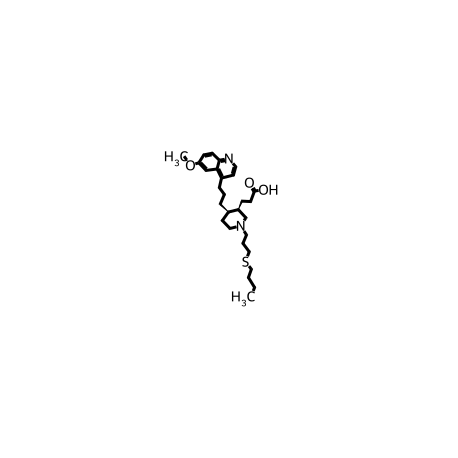 CCCCSCCCN1CC[C@@H](CCCc2ccnc3ccc(OC)cc23)[C@@H](CCC(=O)O)C1